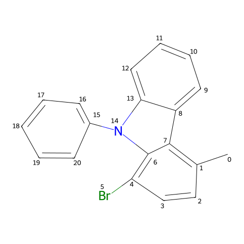 Cc1ccc(Br)c2c1c1ccccc1n2-c1ccccc1